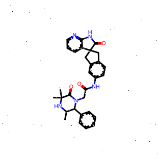 CC1NC(C)(C)C(=O)N(CC(=O)Nc2ccc3c(c2)CC2(C3)C(=O)Nc3ncccc32)C1c1ccccc1